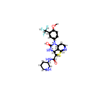 COc1ccc(N2C(=O)Nc3c(C(=O)NC4CCCNC4)sc4nccc2c34)cc1C(F)(F)F